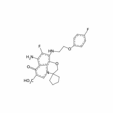 Nc1c(F)c(NCCOc2ccc(F)cc2)c2c3c1c(=O)c(C(=O)O)cn3C1(CCCC1)CO2